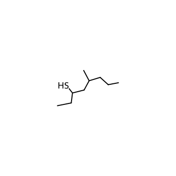 CCCC(C)CC(S)CC